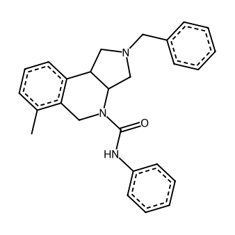 Cc1cccc2c1CN(C(=O)Nc1ccccc1)C1CN(Cc3ccccc3)CC21